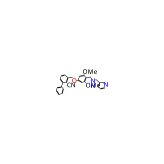 COc1cc(OCc2cccc(-c3ccccc3)c2C#N)cc(OC)c1CNCc1cccnc1